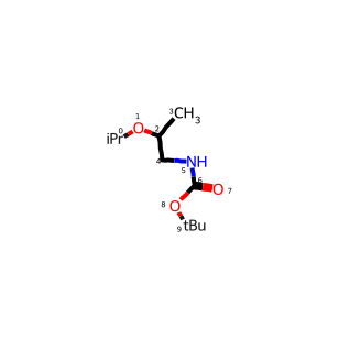 CC(C)OC(C)CNC(=O)OC(C)(C)C